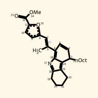 CCCCCCCCC1C=CC(/C(C)=C/c2ccc(C(=O)OC)o2)=C2N=C3CCCCC3=C21